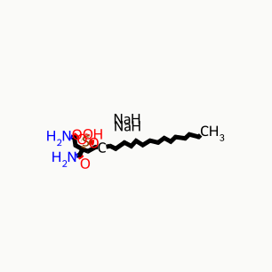 CCCCCCCCCCCCCCCCCCC(CC(N)=O)(C(N)=O)S(=O)(=O)O.[NaH].[NaH]